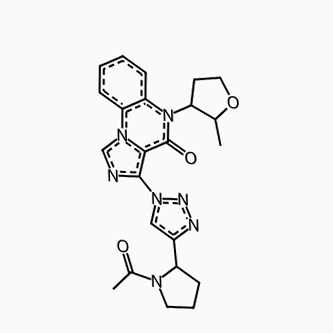 CC(=O)N1CCCC1c1cn(-c2ncn3c2c(=O)n(C2CCOC2C)c2ccccc23)nn1